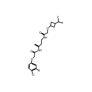 C=C(CCNC(=O)COC1CC(C(F)F)C1)NC(=O)COc1ccc(Cl)c(F)c1